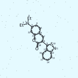 CCN(CC)c1ccc2cc(-c3snc4ccccc34)c(=O)oc2c1